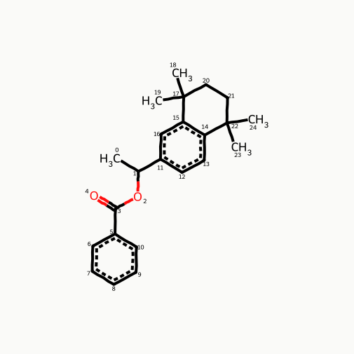 CC(OC(=O)c1ccccc1)c1ccc2c(c1)C(C)(C)CCC2(C)C